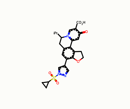 CC(C)C1Cc2cc(-c3cnn(S(=O)(=O)C4CC4)c3)c3c(c2-c2cc(=O)c(C(=O)O)cn21)CCO3